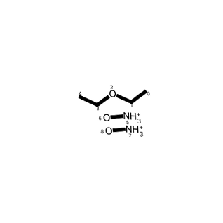 CCOCC.[NH3+][O-].[NH3+][O-]